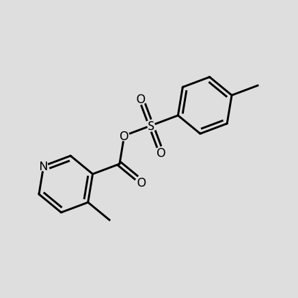 Cc1ccc(S(=O)(=O)OC(=O)c2cnccc2C)cc1